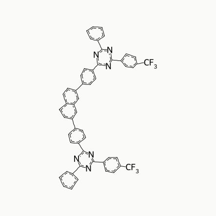 FC(F)(F)c1ccc(-c2nc(-c3ccccc3)nc(-c3ccc(-c4ccc5ccc(-c6ccc(-c7nc(-c8ccccc8)nc(-c8ccc(C(F)(F)F)cc8)n7)cc6)cc5c4)cc3)n2)cc1